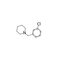 Clc1cc[c]c(CN2CCCCC2)c1